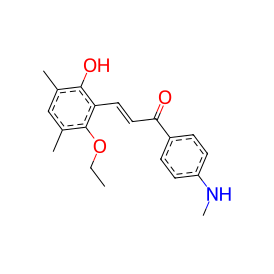 CCOc1c(C)cc(C)c(O)c1/C=C/C(=O)c1ccc(NC)cc1